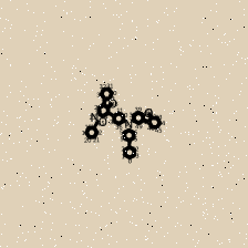 c1ccc(-c2ccc(N(c3ccc(-c4c5oc(-c6ccccc6)nc5cc5c4oc4ccccc45)cc3)c3ccc4oc5ccccc5c4c3)cc2)cc1